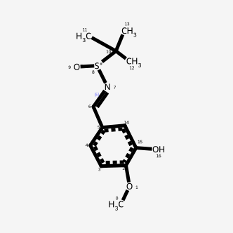 COc1ccc(/C=N/[S+]([O-])C(C)(C)C)cc1O